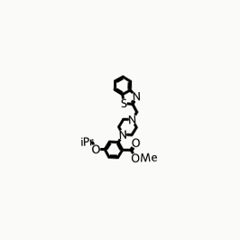 COC(=O)c1ccc(OC(C)C)cc1N1CCN(Cc2nc3ccccc3s2)CC1